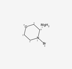 BrN1CCOCC1.[MgH2]